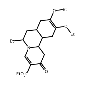 CCOC(=O)C1=CN2C(CC)CC3CC(OCC)=C(OCC)CC3C2CC1=O